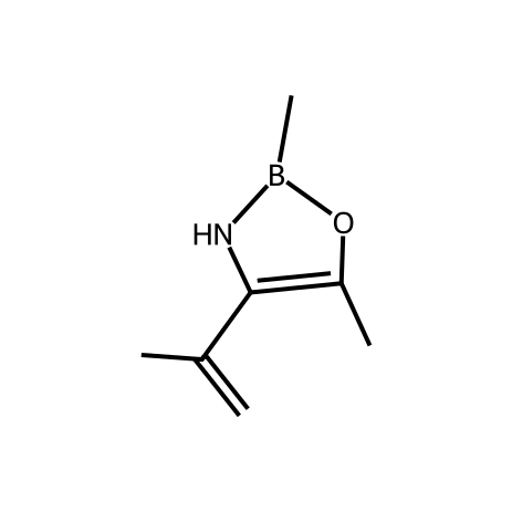 C=C(C)C1=C(C)OB(C)N1